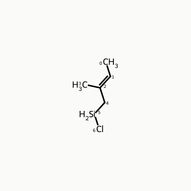 C/C=C(\C)C[SiH2]Cl